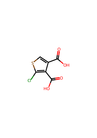 O=C(O)c1csc(Cl)c1C(=O)O